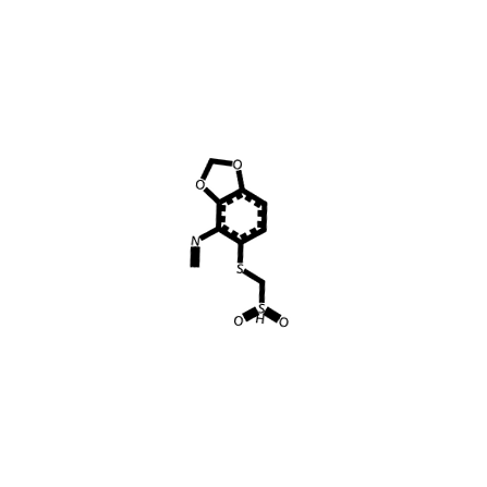 C=Nc1c(SC[SH](=O)=O)ccc2c1OCO2